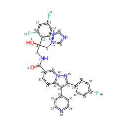 O=C(NC[C@@](O)(Cn1cncn1)c1ccc(F)cc1F)c1ccc2c(-c3ccncc3)c(-c3ccc(F)cc3)nn2c1